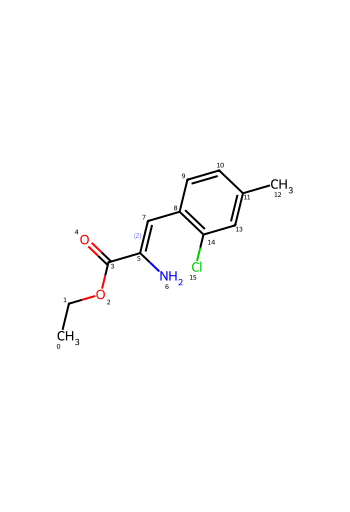 CCOC(=O)/C(N)=C/c1ccc(C)cc1Cl